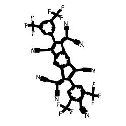 N#CC(C#N)=C1C(c2cc(C(F)(F)F)cc(C(F)(F)F)c2)=C(C#N)c2cc3c(cc21)C(C#N)=C(c1cc(C(F)(F)F)c(C#N)c(C(F)(F)F)c1)C3=C(C#N)C#N